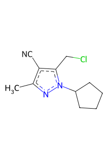 Cc1nn(C2CCCC2)c(CCl)c1C#N